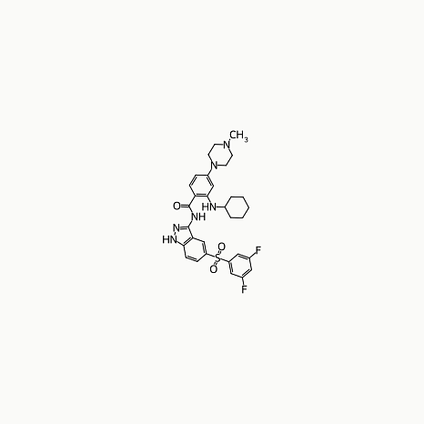 CN1CCN(c2ccc(C(=O)Nc3n[nH]c4ccc(S(=O)(=O)c5cc(F)cc(F)c5)cc34)c(NC3CCCCC3)c2)CC1